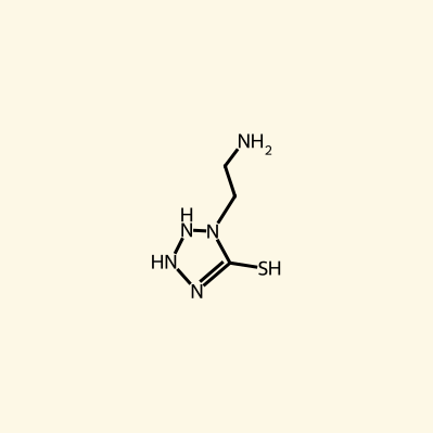 NCCN1NNN=C1S